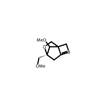 COC[C@]12CC3=BCC3(CO1)C2OC